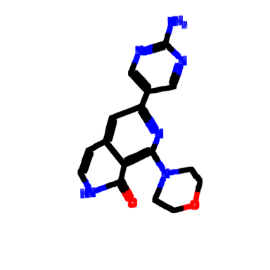 Nc1ncc(-c2cc3cc[nH]c(=O)c3c(N3CCOCC3)n2)cn1